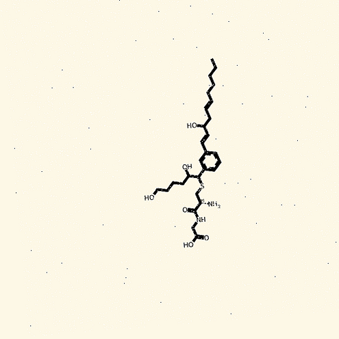 CCCCCC=CCC(O)C=Cc1cccc(C(SC[C@H](N)C(=O)NCC(=O)O)C(O)CCCCO)c1